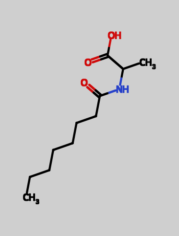 CCCCCCCC(=O)NC(C)C(=O)O